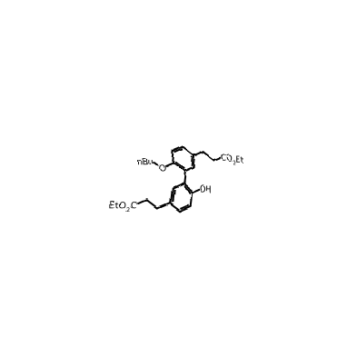 CCCCOc1ccc(CCC(=O)OCC)cc1-c1cc(CCC(=O)OCC)ccc1O